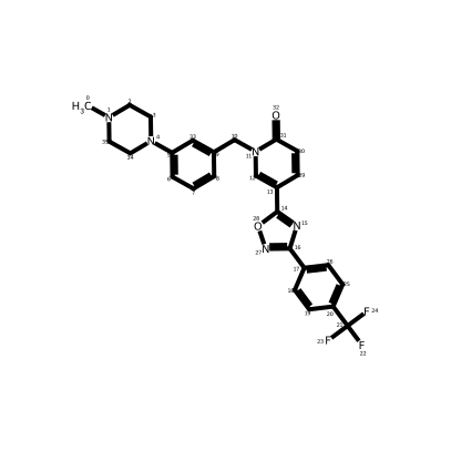 CN1CCN(c2cccc(Cn3cc(-c4nc(-c5ccc(C(F)(F)F)cc5)no4)ccc3=O)c2)CC1